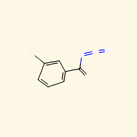 C=C(N=[N+]=[N-])c1cccc([N+](=O)[O-])c1